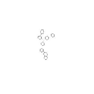 c1ccc(-c2ccc(N(c3ccc(-c4ccc5oc6c7ccccc7ccc6c5c4)cc3)c3cccc4c3oc3ccccc34)cc2)cc1